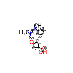 CN(CCOc1ccc(C(=O)O)cc1)CCN(C)c1ccccc1